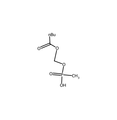 CCCCC(=O)OCOP(C)(=O)O